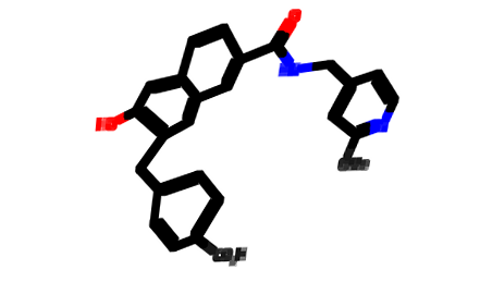 COc1cc(CNC(=O)c2ccc3cc(O)c(Cc4ccc(C(=O)O)cc4)cc3c2)ccn1